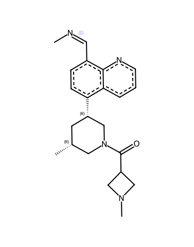 C/N=C\c1ccc([C@H]2C[C@@H](C)CN(C(=O)C3CN(C)C3)C2)c2cccnc12